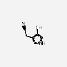 N#CCc1c[nH]cc1O